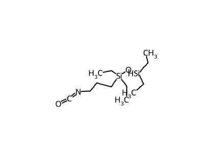 CC[SiH](CC)O[Si](CC)(CC)CCCN=C=O